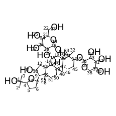 CC(C)(O)[C@@H]1CC[C@](C)([C@H]2[C@@H](O)C[C@@]3(C)[C@@H]4CC(O[C@@H]5OC(CO)[C@@H](O)[C@H](O)C5O)[C@H]5C(C)(C)C(O[C@@H]6OC[C@@H](O)C(O)[C@H]6O)CC[C@@]56CC46CC[C@]23C)O1